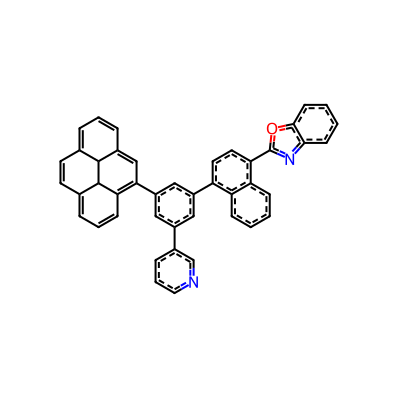 C1=CC2=CC(c3cc(-c4cccnc4)cc(-c4ccc(-c5nc6ccccc6o5)c5ccccc45)c3)=C3C=CC=C4C=CC(=C1)C2C43